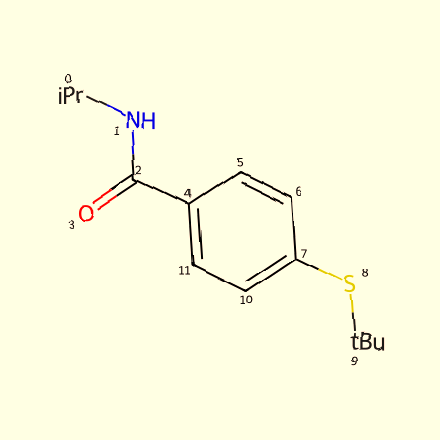 CC(C)NC(=O)c1ccc(SC(C)(C)C)cc1